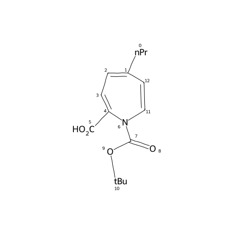 CCCC1=CC=C(C(=O)O)N(C(=O)OC(C)(C)C)C=C1